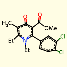 CCc1c(C)c(=O)c(C(=O)OC)c(-c2ccc(Cl)c(Cl)c2)n1CC